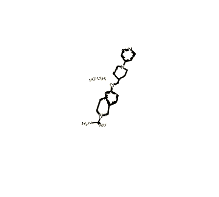 Cl.Cl.N=C(N)N1CCc2cc(OCC3CCN(c4ccncc4)CC3)ccc2C1